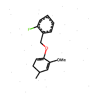 COC1=CC(C)CC=C1OCc1ccccc1F